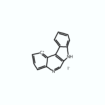 [C+]1=c2c(ncc3[nH]c4ccccc4c23)=CC=C1.[I-]